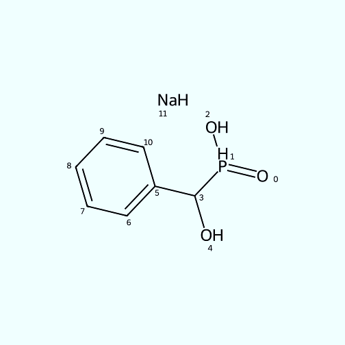 O=[PH](O)C(O)c1ccccc1.[NaH]